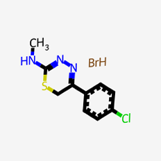 Br.CNC1=NN=C(c2ccc(Cl)cc2)CS1